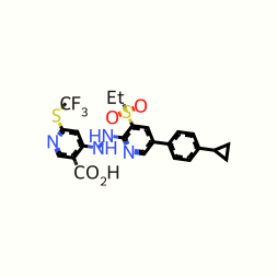 CCS(=O)(=O)c1cc(-c2ccc(C3CC3)cc2)cnc1NNc1cc(SC(F)(F)F)ncc1C(=O)O